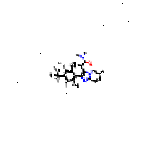 [2H]c1c([2H])c(C([2H])([2H])[2H])c([2H])c([2H])c1-c1nc2ccc(C)cn2c1C([2H])C(=O)N(C)C